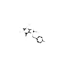 Cn1c(=O)[nH]c(=O)c2c1nc(Br)n2Cc1ccc(F)cc1